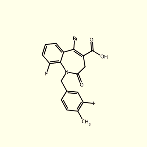 Cc1ccc(CN2C(=O)CC(C(=O)O)=C(Br)c3cccc(F)c32)cc1F